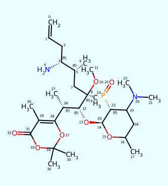 C=CC[C@@H](N)[C@H](C)C[C@@](C)(OC)[C@H](O[C@@H]1OC(C)CC(N(C)C)[C@H]1P=O)[C@@H](C)C1=C(C)C(=O)OC(C)(C)O1